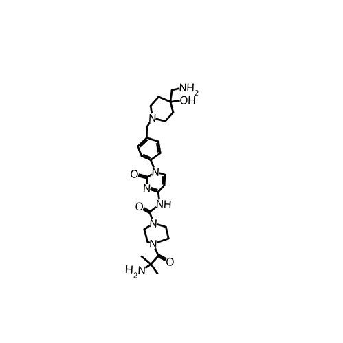 CC(C)(N)C(=O)N1CCN(C(=O)Nc2ccn(-c3ccc(CN4CCC(O)(CN)CC4)cc3)c(=O)n2)CC1